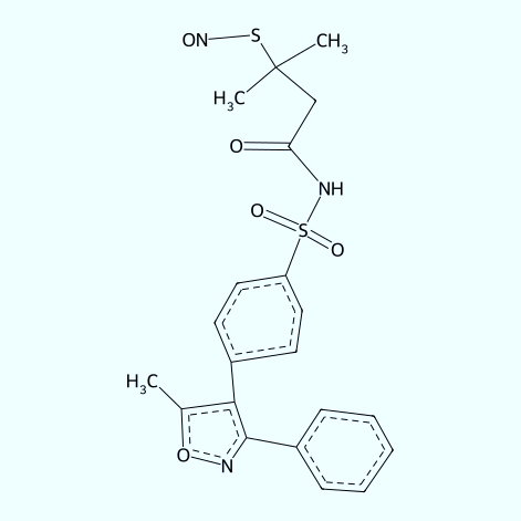 Cc1onc(-c2ccccc2)c1-c1ccc(S(=O)(=O)NC(=O)CC(C)(C)SN=O)cc1